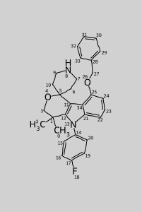 CC1(C)COC2(CCNCC2)c2c1n(-c1ccc(F)cc1)c1cccc(OCc3ccccc3)c21